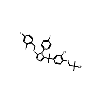 CC(C)(O)COc1ccc(C(C)(C)c2cnc(SCc3ccc(F)cc3Cl)n2-c2ccc(F)cc2)cc1Cl